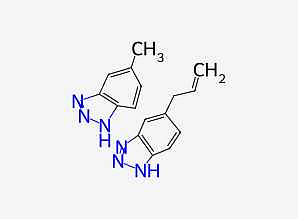 C=CCc1ccc2[nH]nnc2c1.Cc1ccc2[nH]nnc2c1